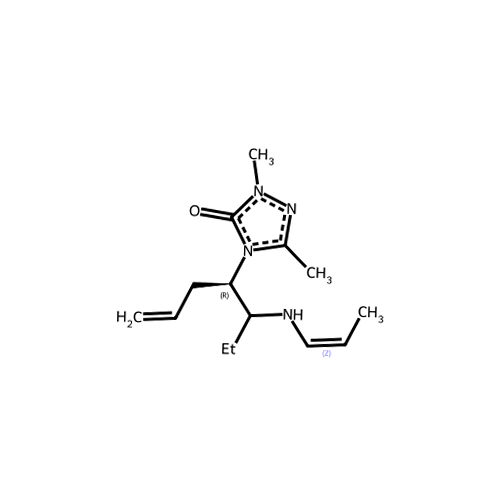 C=CC[C@H](C(CC)N/C=C\C)n1c(C)nn(C)c1=O